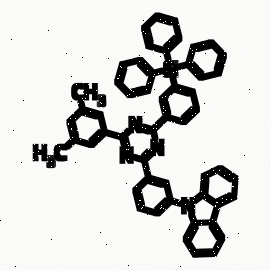 Cc1cc(C)cc(-c2nc(-c3cccc(-n4c5ccccc5c5ccccc54)c3)nc(-c3cccc([Si](c4ccccc4)(c4ccccc4)c4ccccc4)c3)n2)c1